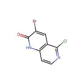 O=c1[nH]c2ccnc(Cl)c2cc1Br